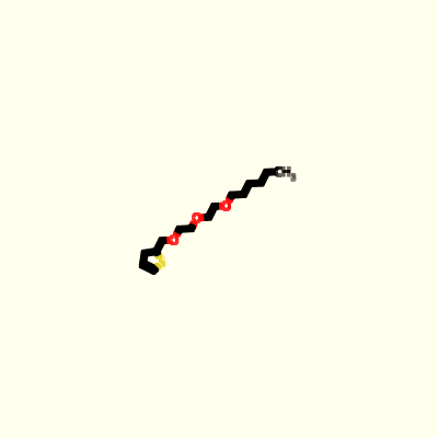 CCCCCCOCCOCCOCC1CC=CS1